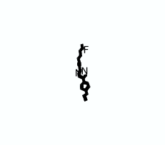 C=CCc1ccc(-c2cnc(C#CCCCC(C)F)nc2)cc1